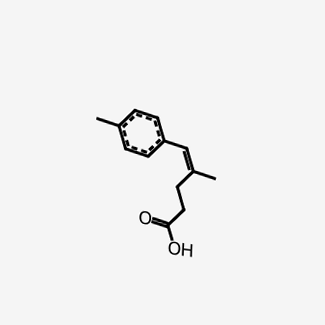 CC(=Cc1ccc(C)cc1)CCC(=O)O